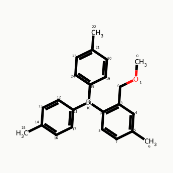 COCc1cc(C)cc[c]1[Bi]([c]1ccc(C)cc1)[c]1ccc(C)cc1